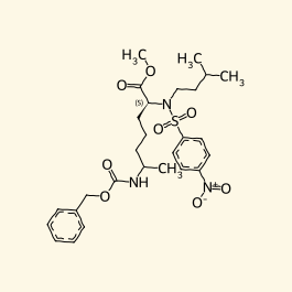 COC(=O)[C@H](CCCC(C)NC(=O)OCc1ccccc1)N(CCC(C)C)S(=O)(=O)c1ccc([N+](=O)[O-])cc1